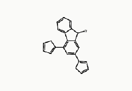 [Zr][CH]1c2ccccc2-c2c(C3=CC=CC3)cc(C3=CC=CC3)cc21